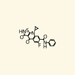 O=C(Nc1ccccc1)c1cc2c(cc1F)c(=O)c1c(=O)[nH]sc1n2C1CC1